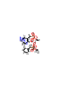 C=COS(=O)(=O)Cc1ccccc1.C=COS(=O)(=O)Cc1ccccc1.N